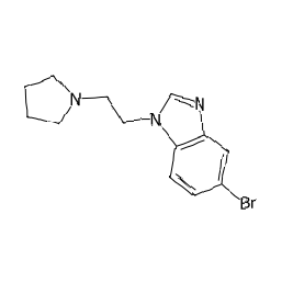 Brc1ccc2c(c1)ncn2CCN1CCCC1